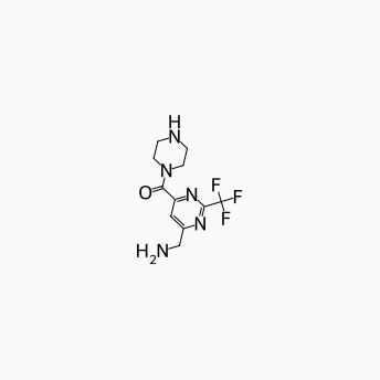 NCc1cc(C(=O)N2CCNCC2)nc(C(F)(F)F)n1